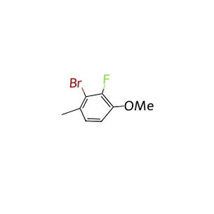 COc1ccc(C)c(Br)c1F